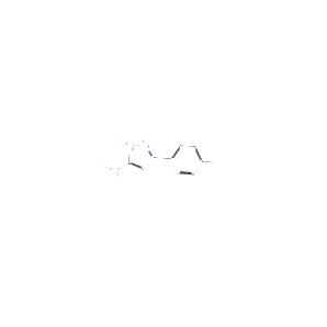 CNc1cc(-c2ccc(Cl)cc2)nn1C